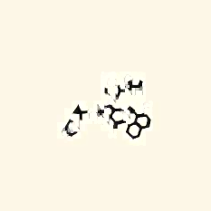 C#Cc1c(F)ccc2c1[C@H](c1ncc3c(N4CCOCC(NC(=O)C=C)C4)nc(OCC4(CN5CCOCC5)CC4)nc3c1F)CCC2